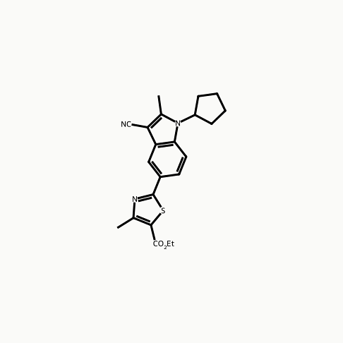 CCOC(=O)c1sc(-c2ccc3c(c2)c(C#N)c(C)n3C2CCCC2)nc1C